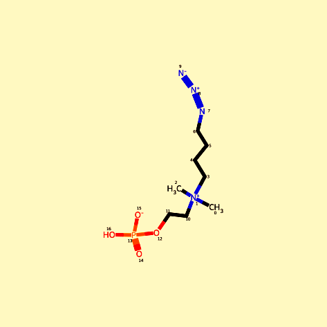 C[N+](C)(CCCCN=[N+]=[N-])CCOP(=O)([O-])O